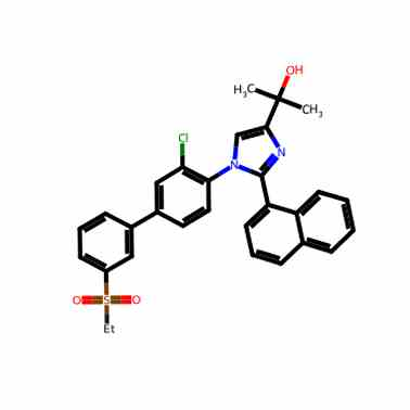 CCS(=O)(=O)c1cccc(-c2ccc(-n3cc(C(C)(C)O)nc3-c3cccc4ccccc34)c(Cl)c2)c1